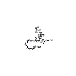 CCCCC/C=C\C/C=C\C/C=C\C/C=C\CCCC(=O)O[C@H](COC(=O)CCCCCCCCC)COP(=O)([O-])OCC[N+](C)(C)C